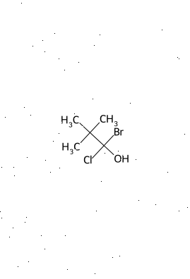 CC(C)(C)C(O)(Cl)Br